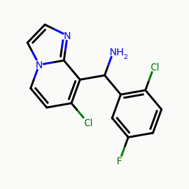 NC(c1cc(F)ccc1Cl)c1c(Cl)ccn2ccnc12